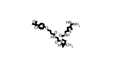 CC1(c2ccc(OCCCC(=O)NCC(=O)N3[C@H]4C[C@@]4(C)C[C@H]3C(=O)NCc3cc(C(=N)N)cs3)cc2)COC1